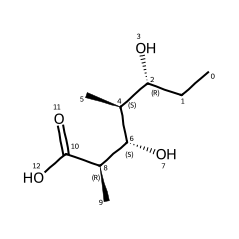 CC[C@@H](O)[C@H](C)[C@H](O)[C@@H](C)C(=O)O